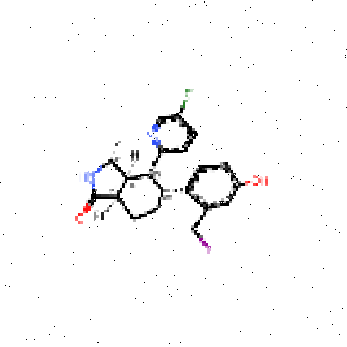 CC[C@@]12CC[C@@H](c3ccc(O)cc3CI)[C@H](c3ccc(Cl)cn3)[C@@H]1[C@@H](C)NC2=O